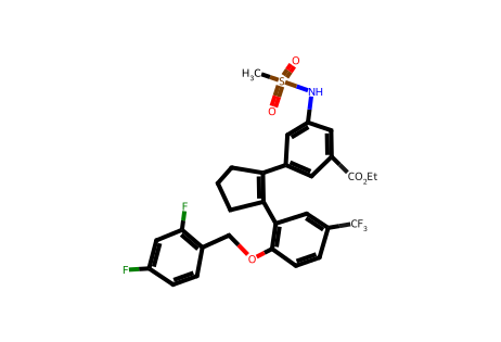 CCOC(=O)c1cc(NS(C)(=O)=O)cc(C2=C(c3cc(C(F)(F)F)ccc3OCc3ccc(F)cc3F)CCC2)c1